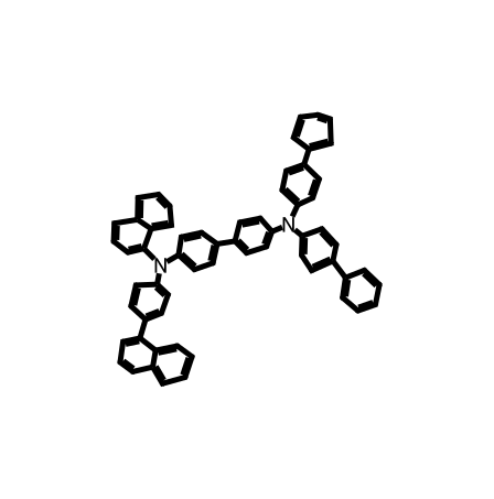 c1ccc(-c2ccc(N(c3ccc(-c4ccccc4)cc3)c3ccc(-c4ccc(N(c5ccc(-c6cccc7ccccc67)cc5)c5cccc6ccccc56)cc4)cc3)cc2)cc1